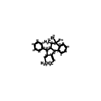 C/C=C1\C(=C/C)N2c3ccccc3C(F)(CC)C(C)C2N1c1ccccc1